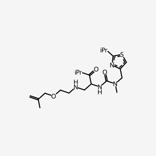 C=C(C)COCCNCC(NC(=O)N(C)Cc1csc(C(C)C)n1)C(=O)C(C)C